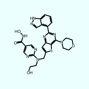 O=C(NO)c1cnc(N(CCO)Cc2cc3nc(-c4cccc5[nH]ncc45)nc(N4CCOCC4)c3s2)nc1